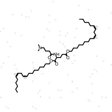 CCCCC/C=C\C/C=C\CCCCCCCCOC(=O)CCC(NC(=O)CCCN(C)C)C(=O)OCCCCCCCC/C=C\C/C=C\CCCCC